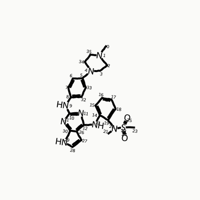 CN1CCN(c2ccc(Nc3nc(Nc4ccccc4N(C)S(C)(=O)=O)c4cc[nH]c4n3)cc2)CC1